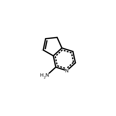 Nc1nccc2c1[C]=CC2